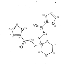 O=C(OC[Si]1(COC(=O)c2ccco2)CCCCC1)c1ccco1